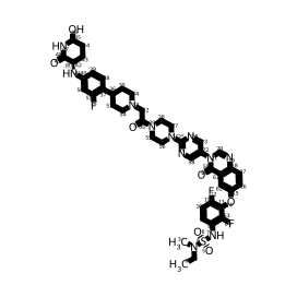 CCN(C)S(=O)(=O)Nc1ccc(F)c(Oc2ccc3ncn(-c4cnc(N5CCN(C(=O)CN6CCC(c7ccc(N[C@@H]8CCC(O)NC8=O)cc7F)CC6)CC5)nc4)c(=O)c3c2)c1F